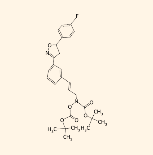 CC(C)(C)OC(=O)ON(CC=Cc1cccc(C2=NOC(c3ccc(F)cc3)C2)c1)C(=O)OC(C)(C)C